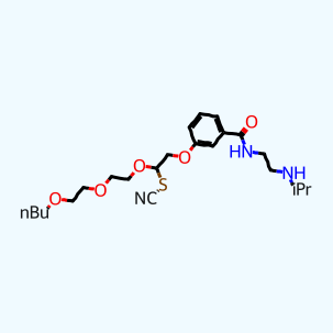 CCCCOCCOCCOC(COc1cccc(C(=O)NCCNC(C)C)c1)SC#N